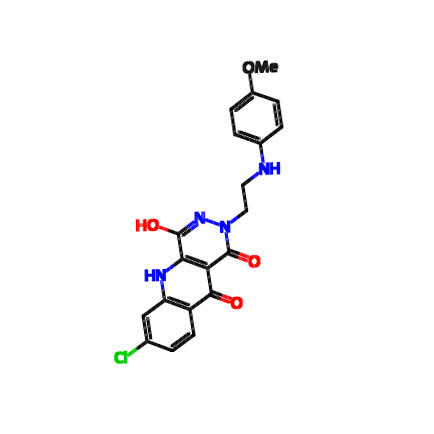 COc1ccc(NCCn2nc(O)c3[nH]c4cc(Cl)ccc4c(=O)c3c2=O)cc1